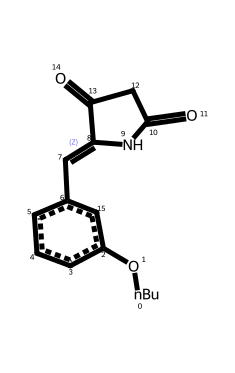 CCCCOc1cccc(/C=C2\NC(=O)CC2=O)c1